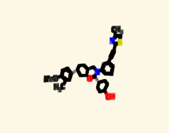 COc1ccc([C@H]2CC[C@H](CN(c3cccc(C#Cc4nc(C)cs4)c3)C(=O)[C@H]3CC[C@H](O)CC3)CC2)cc1C